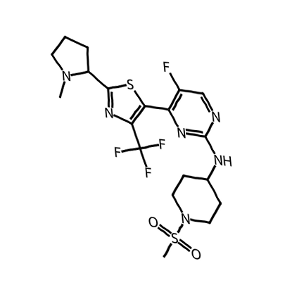 CN1CCCC1c1nc(C(F)(F)F)c(-c2nc(NC3CCN(S(C)(=O)=O)CC3)ncc2F)s1